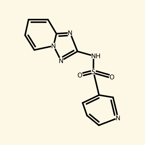 O=S(=O)(Nc1nc2ccccn2n1)c1cccnc1